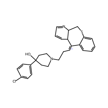 OC1(c2ccc(Cl)cc2)CCN(CC/C=C2/c3ccccc3SCC3N=CC=CC23)CC1